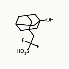 O=S(=O)(O)C(F)(F)CC12CC3CC(CC(O)(C3)C1)C2